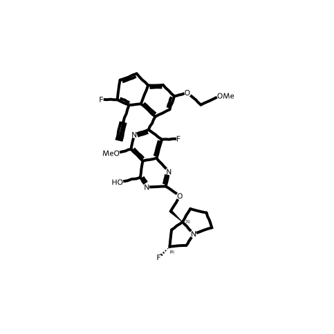 C#Cc1c(F)ccc2cc(OCOC)cc(-c3nc(OC)c4c(O)nc(OC[C@@]56CCCN5C[C@H](F)C6)nc4c3F)c12